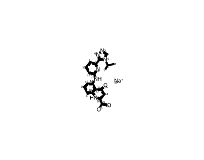 CC(C)n1cnnc1-c1cccc(Nc2cccc3[nH]c(C(=O)[O-])cc(=O)c23)n1.[Na+]